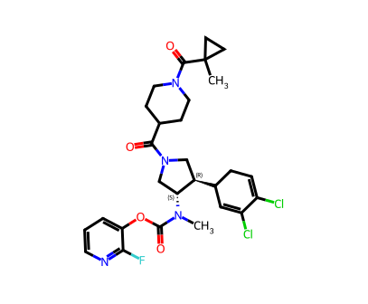 CN(C(=O)Oc1cccnc1F)[C@@H]1CN(C(=O)C2CCN(C(=O)C3(C)CC3)CC2)C[C@H]1C1C=C(Cl)C(Cl)=CC1